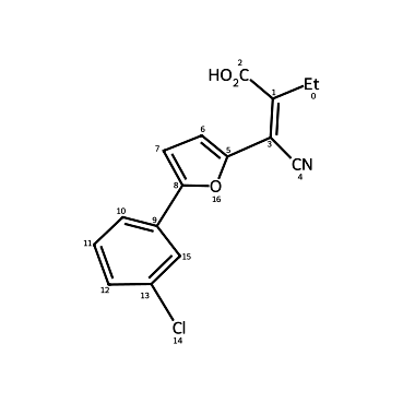 CCC(C(=O)O)=C(C#N)c1ccc(-c2cccc(Cl)c2)o1